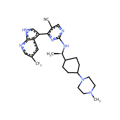 C[C@@H](Nc1ncc(C#N)c(-c2c[nH]c3ncc(C(F)(F)F)cc23)n1)C1CCC(N2CCN(C)CC2)CC1